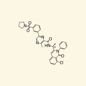 Cc1ncc(-c2cccc(S(=O)(=O)N3CCCC3)c2)nc1C(=O)N[C@@H](C)c1cc2cccc(Cl)c2c(=O)n1-c1ccccc1